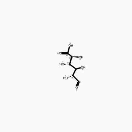 O=C[C@H](O)C(O)[C@H](O)[C@H](O)C(=O)O